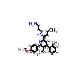 CC/C=C(\NCCCN)c1cc(-c2ccccc2C)c(CC)c(-c2ccc(OC)cc2)n1